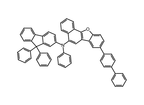 c1ccc(-c2ccc(-c3ccc4oc5c6ccccc6c(N(c6ccccc6)c6ccc7c(c6)C(c6ccccc6)(c6ccccc6)c6ccccc6-7)cc5c4c3)cc2)cc1